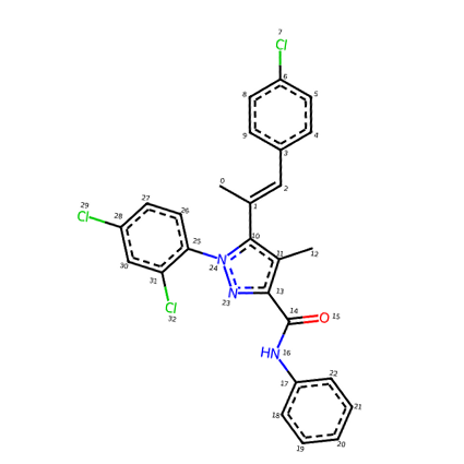 C/C(=C\c1ccc(Cl)cc1)c1c(C)c(C(=O)Nc2ccccc2)nn1-c1ccc(Cl)cc1Cl